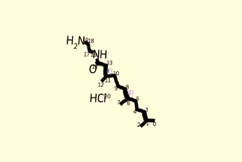 CC(C)=CCC/C(C)=C/CC/C(C)=C/C(=O)NCCN.Cl